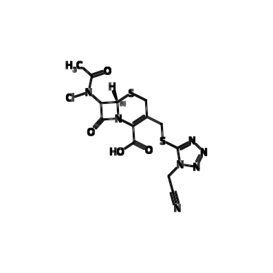 CC(=O)N(Cl)C1C(=O)N2C(C(=O)O)=C(CSc3nnnn3CC#N)CS[C@@H]12